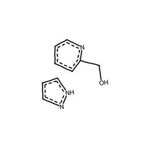 OCc1ccccn1.c1cn[nH]c1